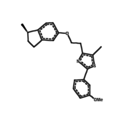 COc1cccc(-c2nc(CCOc3ccc4c(c3)CC[C@H]4C)c(C)s2)c1